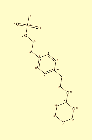 CS(=O)(=O)OCCc1ccc(CCOC2CCCCO2)cc1